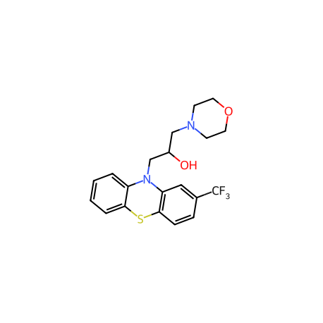 OC(CN1CCOCC1)CN1c2ccccc2Sc2ccc(C(F)(F)F)cc21